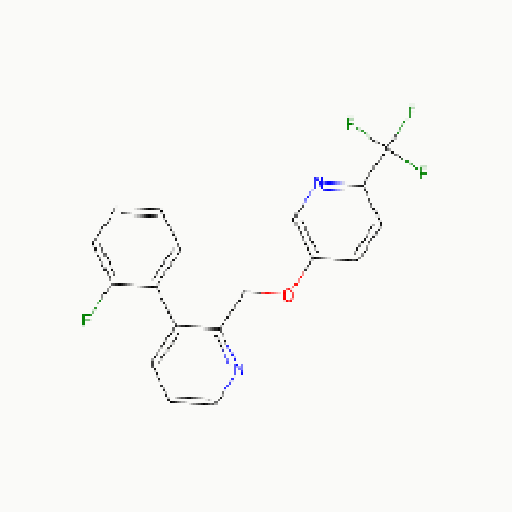 Fc1ccccc1-c1cccnc1COc1ccc(C(F)(F)F)nc1